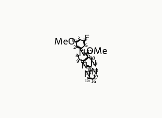 COc1cc(F)cc(N2CCc3nc(-c4ncccn4)ncc3C2OC)c1